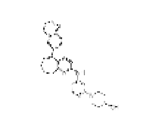 CN1CCN(c2cc(Nc3ncc4c(n3)CCCC=C4c3ccc4ncccc4c3)ccn2)CC1